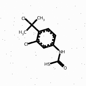 CC(C)(Cl)c1ccc(NC(=O)S)cc1Cl